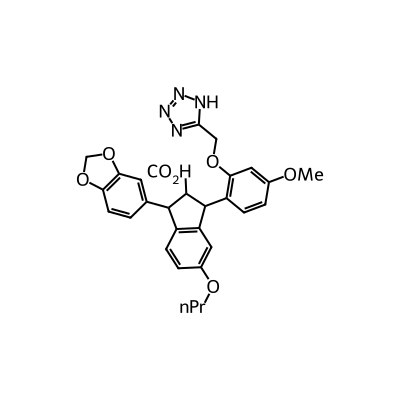 CCCOc1ccc2c(c1)C(c1ccc(OC)cc1OCc1nnn[nH]1)C(C(=O)O)C2c1ccc2c(c1)OCO2